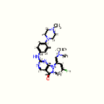 C/C(F)=C\C(=C/N(C=O)C(C)C)n1c2nc(Nc3ccc(N4CCN(C)CC4)cc3)ncc2c(=O)n1C(C)C